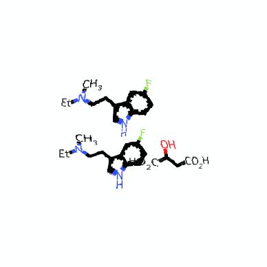 CCN(C)CCc1c[nH]c2ccc(F)cc12.CCN(C)CCc1c[nH]c2ccc(F)cc12.O=C(O)CC(O)C(=O)O